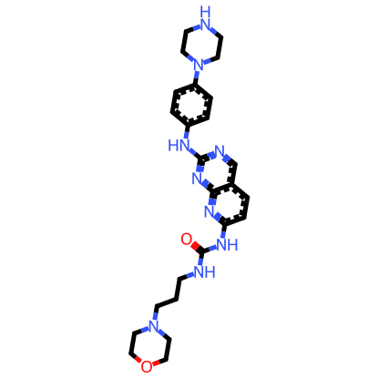 O=C(NCCCN1CCOCC1)Nc1ccc2cnc(Nc3ccc(N4CCNCC4)cc3)nc2n1